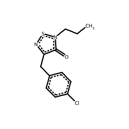 CCCn1snc(Cc2ccc(Cl)cc2)c1=O